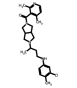 Cc1ccc(NCCC(C)N2CC3CN(C(=O)c4c(C)ccnc4C)CC3C2)cc1Cl